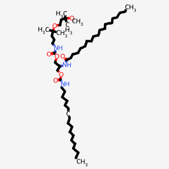 CCCCCCCCCCCCCCCCCCNC(=O)OCC(COC(=O)NCCCC(C)(C)OCCC(C)(C)OC)NC(=O)CCCCCCCCCCCCCCCCCC